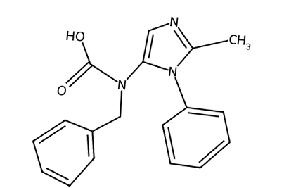 Cc1ncc(N(Cc2ccccc2)C(=O)O)n1-c1ccccc1